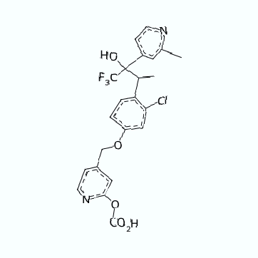 Cc1cc(C(O)(C(C)c2ccc(OCc3ccnc(OC(=O)O)c3)cc2Cl)C(F)(F)F)ccn1